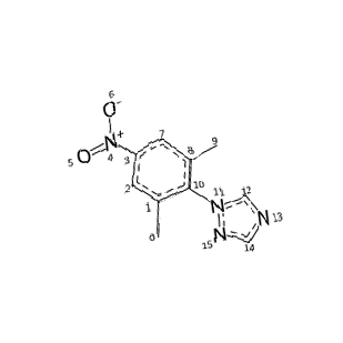 Cc1cc([N+](=O)[O-])cc(C)c1-n1cncn1